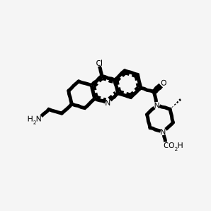 C[C@@H]1CN(C(=O)O)CCN1C(=O)c1ccc2c(Cl)c3c(nc2c1)CC(CCN)CC3